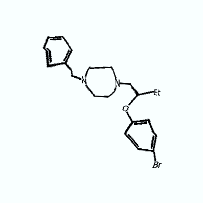 CCC(CN1CCN(Cc2ccccc2)CC1)Oc1ccc(Br)cc1